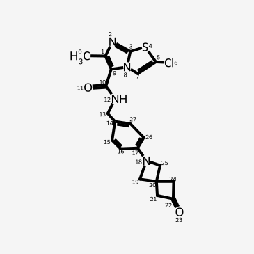 Cc1nc2sc(Cl)cn2c1C(=O)NCc1ccc(N2CC3(CC(=O)C3)C2)cc1